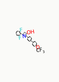 OC1CC(c2c(F)cccc2F)=NC1c1ccc(-c2ccc(OC(F)(F)F)cc2)cc1